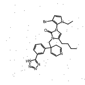 CCCCc1cn(-c2c(Br)ccn2CC)c(=O)n1CC1(c2cccc(-c3nnn[nH]3)c2)C=CN=CC1